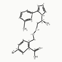 Cc1cccc(-c2nncn2[C@@H](C)CCOCc2ccc(Br)cc2C(=O)O)n1